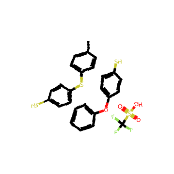 Cc1ccc(Sc2ccc(S)cc2)cc1.O=S(=O)(O)C(F)(F)F.Sc1ccc(Oc2ccccc2)cc1